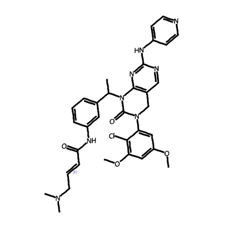 COc1cc(OC)c(Cl)c(N2Cc3cnc(Nc4ccncc4)nc3N(C(C)c3cccc(NC(=O)/C=C/CN(C)C)c3)C2=O)c1